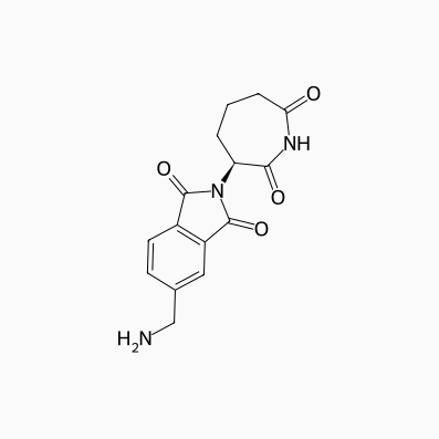 NCc1ccc2c(c1)C(=O)N([C@H]1CCCC(=O)NC1=O)C2=O